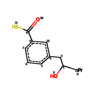 CCCC(O)Cc1cccc(C(=O)S)c1